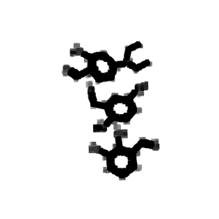 CCN(CC)c1ccc(C=O)c(O)c1.O=Cc1cc(O)ccc1O.O=Cc1cccc(O)c1O